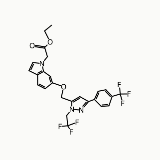 CCOC(=O)Cn1ccc2ccc(OCc3cc(-c4ccc(C(F)(F)F)cc4)nn3CC(F)(F)F)cc21